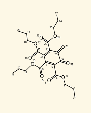 CCCOC(=O)C1=C(C(=O)OCCC)C(C(=O)OCCC)=C(C(=O)OCCC)C(=O)C1=O